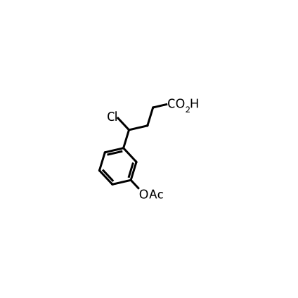 CC(=O)Oc1cccc(C(Cl)CCC(=O)O)c1